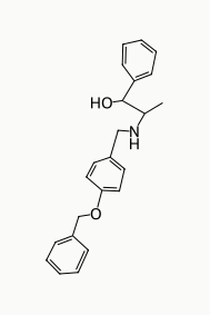 CC(NCc1ccc(OCc2ccccc2)cc1)C(O)c1ccccc1